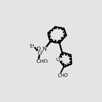 CCOC=O.O=Cc1ccc(-c2ccccc2[N+](=O)[O-])o1